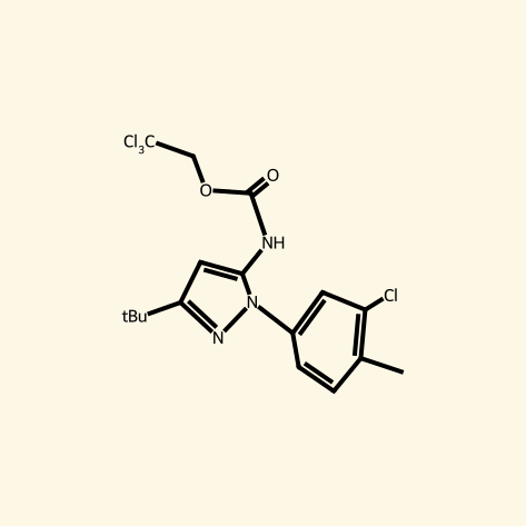 Cc1ccc(-n2nc(C(C)(C)C)cc2NC(=O)OCC(Cl)(Cl)Cl)cc1Cl